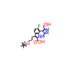 Cc1nn(C)c(CO)c1-c1c(F)ccc2c(CCCO[Si](C)(C)C(C)(C)C)c(C(=O)O)[nH]c12